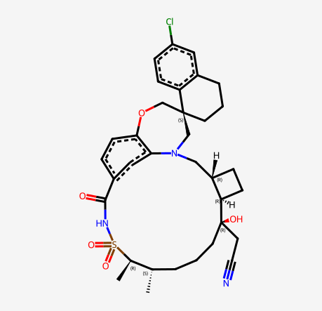 C[C@@H]1[C@@H](C)CCC[C@@](O)(CC#N)[C@@H]2CC[C@H]2CN2C[C@@]3(CCCc4cc(Cl)ccc43)COc3ccc(cc32)C(=O)NS1(=O)=O